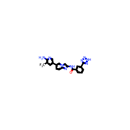 Nc1ncc(-c2ccc3nc(NC(=O)c4cccc(-c5nn[nH]n5)c4)cn3c2)cc1C(F)(F)F